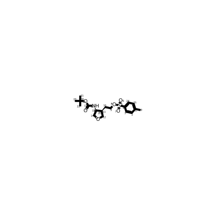 Cc1ccc(S(=O)(=O)OCC[C@H]2COC[C@@H]2NC(=O)OC(C)(C)C)cc1